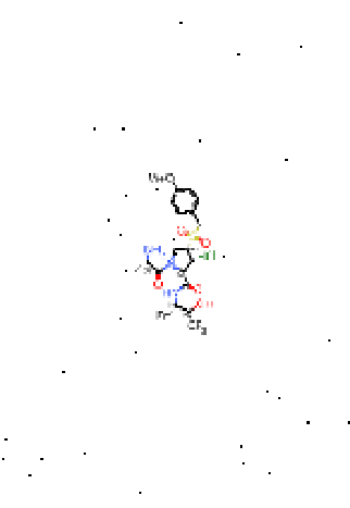 COc1ccc(CS(=O)(=O)[C@@H]2C[C@@H](C(=O)N[C@@H](C(C)C)[C@H](O)C(F)(F)F)N(C(=O)[C@H](C)N)C2)cc1.Cl